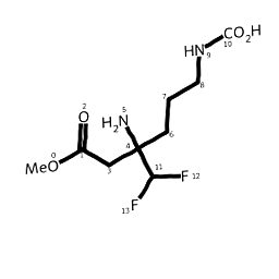 COC(=O)CC(N)(CCCNC(=O)O)C(F)F